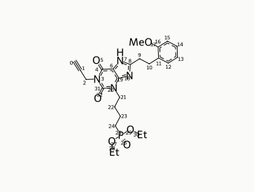 C#CCn1c(=O)c2[nH]c(CCc3ccccc3OC)nc2n(CCCCP(=O)(OCC)OCC)c1=O